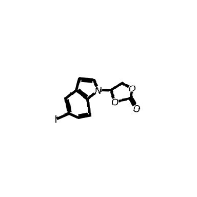 O=C1OCC(n2ccc3cc(I)ccc32)O1